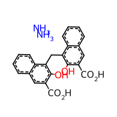 N.N.O=C(O)c1cc2ccccc2c(Cc2c(O)c(C(=O)O)cc3ccccc23)c1O